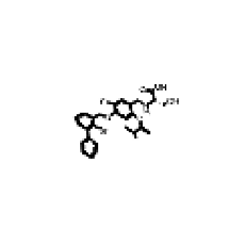 C=C(Oc1cc(OCc2cccc(-c3ccccc3)c2Br)c(Cl)cc1CN[C@@H](CO)C(=O)O)C(C)C